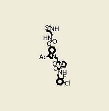 CC(=O)c1cn(CC(=O)N2CCC[C@H]2C(=O)NCc2cccc(Cl)c2F)c2ccc(OC(=O)NCC3=CSCN3)cc12